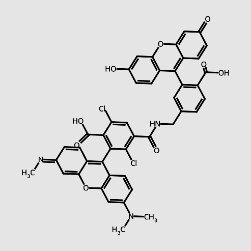 C/N=c1/ccc2c(-c3c(Cl)c(C(=O)NCc4ccc(C(=O)O)c(-c5c6ccc(=O)cc-6oc6cc(O)ccc56)c4)cc(Cl)c3C(=O)O)c3ccc(N(C)C)cc3oc-2c1